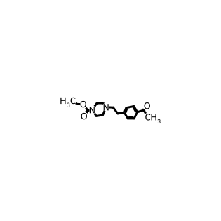 CCOC(=O)N1CCN(CCc2ccc(C(C)=O)cc2)CC1